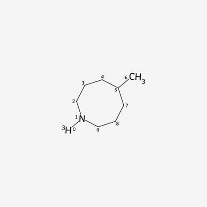 [3H]N1CCCC(C)CCC1